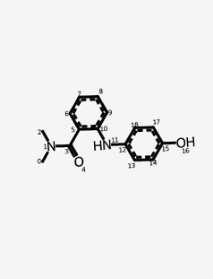 CN(C)C(=O)c1ccccc1Nc1ccc(O)cc1